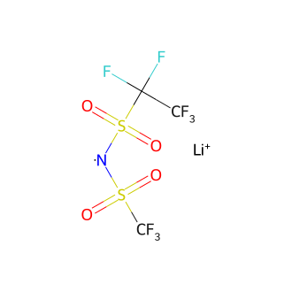 O=S(=O)([N]S(=O)(=O)C(F)(F)C(F)(F)F)C(F)(F)F.[Li+]